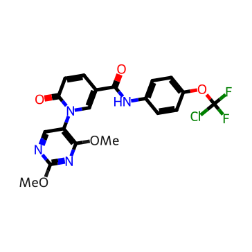 COc1ncc(-n2cc(C(=O)Nc3ccc(OC(F)(F)Cl)cc3)ccc2=O)c(OC)n1